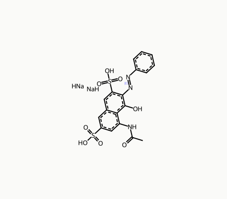 CC(=O)Nc1cc(S(=O)(=O)O)cc2cc(S(=O)(=O)O)c(/N=N/c3ccccc3)c(O)c12.[NaH].[NaH]